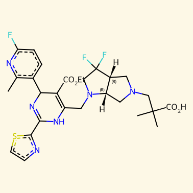 CCOC(=O)C1=C(CN2CC(F)(F)[C@@H]3CN(CC(C)(C)C(=O)O)C[C@@H]32)NC(c2nccs2)=NC1c1ccc(F)nc1C